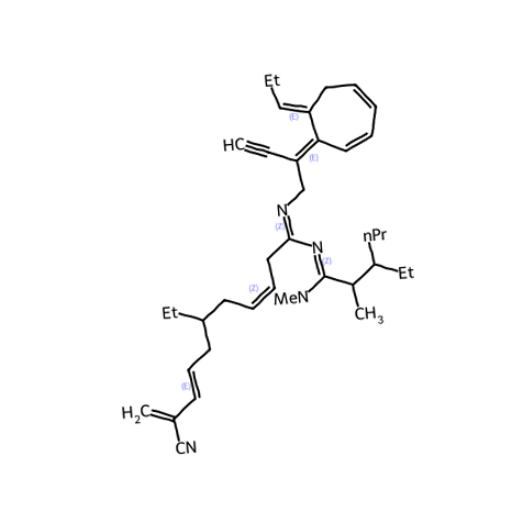 C#C/C(C/N=C(C/C=C\CC(CC)C/C=C/C(=C)C#N)\N=C(/NC)C(C)C(CC)CCC)=C1/C=CC=CC/C1=C\CC